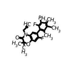 C#CCN1C(=O)C(C)(C)Oc2cc(F)c(-c3c(C)c(C)c(C)c(P)c3F)cc21